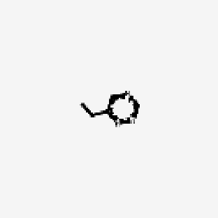 [CH2]Cc1cncnn1